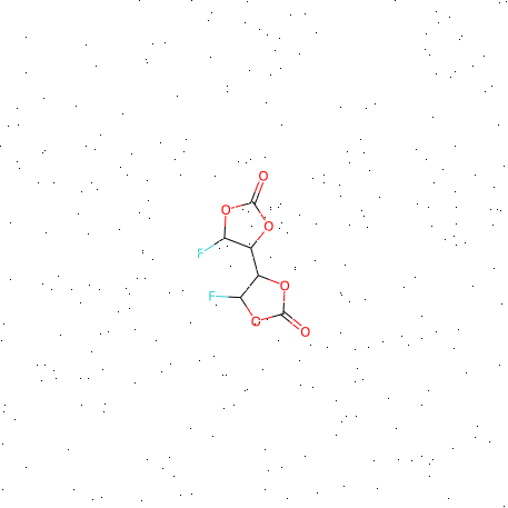 O=C1OC(F)C(C2OC(=O)OC2F)O1